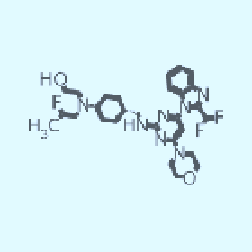 CC(F)CN(CCO)[C@H]1CC[C@H](CNc2nc(N3CCOCC3)cc(-n3c(C(F)F)nc4ccccc43)n2)CC1